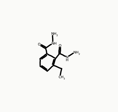 CCc1cccc(C(=O)NN)c1C(=O)NN